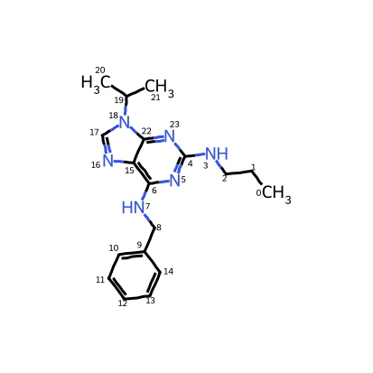 CCCNc1nc(NCc2ccccc2)c2ncn(C(C)C)c2n1